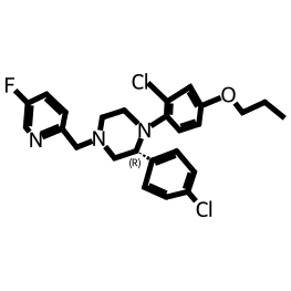 CCCOc1ccc(N2CCN(Cc3ccc(F)cn3)C[C@H]2c2ccc(Cl)cc2)c(Cl)c1